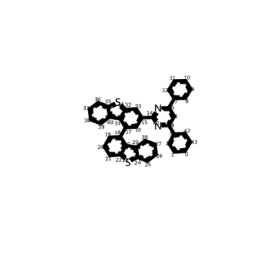 c1ccc(-c2cc(-c3ccccc3)nc(-c3cc(-c4cccc5sc6ccccc6c45)c4c(c3)sc3ccccc34)n2)cc1